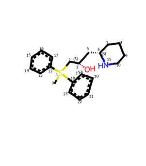 CS(C[C@@H](O)C[C@@H]1CCCCN1)(c1ccccc1)c1ccccc1